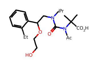 CCc1ccccc1C(CN(C(=O)N(C(C)=O)C(C)(C)C(=O)O)C(C)C)OCCO